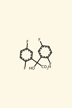 O=C(O)C(O)(c1cc(F)ccc1F)c1cc(F)ccc1F